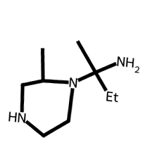 CCC(C)(N)N1CCNCC1C